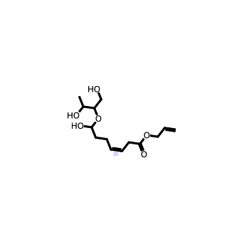 C=CCOC(=O)C/C=C\CCC(O)OC(CO)C(C)O